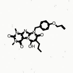 C=CCOc1ccc(Cn2c(=O)c(CCC)c(O)n3c4c(=O)n(C)c(=O)n(C)c4nc23)cc1